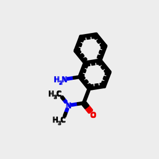 CN(C)C(=O)c1ccc2ccccc2c1N